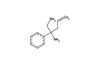 C=CCC(N)(CN)c1ccccc1